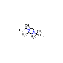 CC(C)N1CCN(C(C)(C)C)CC1C